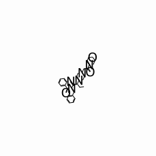 CCC(c1nc2ccccc2c(=O)n1Cc1ccccc1)N1CCN(CC(=O)N2CCOCC2)CC1